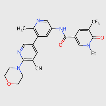 CCn1cc(C(=O)Nc2cnc(C)c(-c3cnc(N4CCOCC4)c(C#N)c3)c2)cc(C(F)(F)F)c1=O